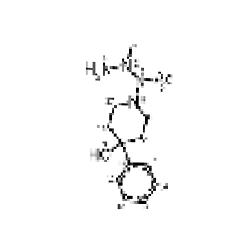 CC(=O)N(N(C)N)N1CCC(O)(c2ccccc2)CC1